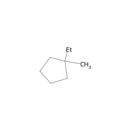 [CH2]CC1(C)CCCC1